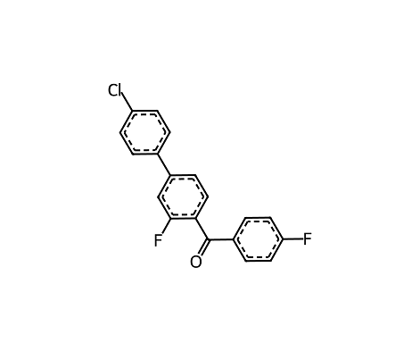 O=C(c1ccc(F)cc1)c1ccc(-c2ccc(Cl)cc2)cc1F